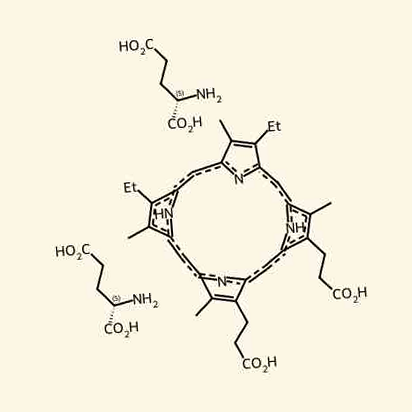 CCC1=C(C)c2cc3[nH]c(cc4nc(cc5[nH]c(cc1n2)c(C)c5CCC(=O)O)C(CCC(=O)O)=C4C)c(C)c3CC.N[C@@H](CCC(=O)O)C(=O)O.N[C@@H](CCC(=O)O)C(=O)O